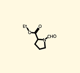 CCOC(=O)C1CCCN1C=O